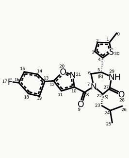 Cc1ccc([C@H]2CN(C(=O)c3cc(-c4ccc(F)cc4)on3)[C@@H](CC(C)C)C(=O)N2)s1